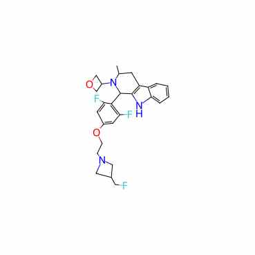 CC1Cc2c([nH]c3ccccc23)C(c2c(F)cc(OCCN3CC(CF)C3)cc2F)N1C1COC1